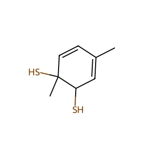 CC1=CC(S)C(C)(S)C=C1